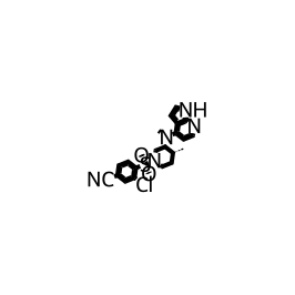 C[C@@H]1CCN(S(=O)(=O)c2ccc(C#N)cc2Cl)C[C@@H]1N(C)c1ccnc2[nH]ccc12